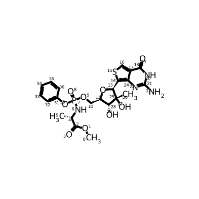 COC(=O)[C@H](C)NP(=O)(OC[C@H]1O[C@@H](c2scc3c(=O)[nH]c(N)nc23)[C@](C)(O)[C@@H]1O)Oc1ccccc1